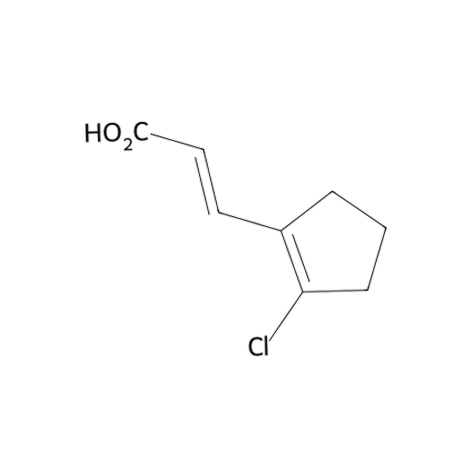 O=C(O)C=CC1=C(Cl)CCC1